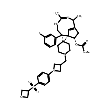 CNC(=O)O[C@H]1CC2=C[C@@H]1[C@](c1cccc(F)c1)(C1CCN(CC3CN(c4ccc(S(=O)(=O)C5COC5)cc4)C3)CC1)CN/C(C)=N\C2C